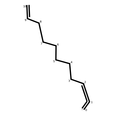 [CH]=C=CCCCCCCC=C